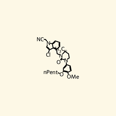 CCCCCOc1cc(N2CC[C@H](C)N(Cc3cccc4c3c(Cl)cn4CC#N)C2=O)ccc1OC